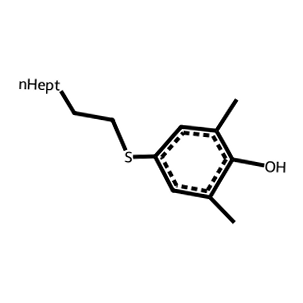 CCCCCCCCCSc1cc(C)c(O)c(C)c1